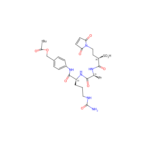 CC(C)[C@H](NC(=O)[C@@H](CCN1C(=O)C=CC1=O)S(=O)(=O)O)C(=O)N[C@@H](CCCNC(N)=O)C(=O)Nc1ccc(COC(=O)C(C)(C)C)cc1